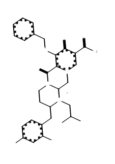 CC(C)CN1C(Cc2ccc(F)cc2F)C[C@H](C)N2C(=O)c3c(OCc4ccccc4)c(=O)c(C(N)=O)cn3C[C@@H]12